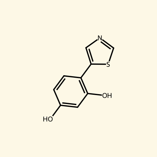 Oc1ccc(-c2cncs2)c(O)c1